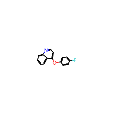 Fc1ccc(Oc2ccnc3ccccc23)cc1